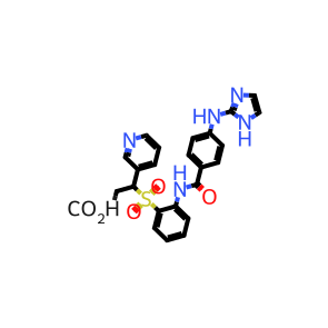 O=C(O)CC(c1cccnc1)S(=O)(=O)c1ccccc1NC(=O)c1ccc(Nc2ncc[nH]2)cc1